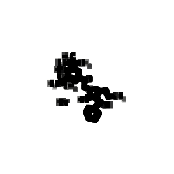 Br.CCCC1CN(CC(=O)c2cc(C(C)(C)C)c(O)c(C(C)(C)C)c2)C(=N)C1C(O)c1ccccc1